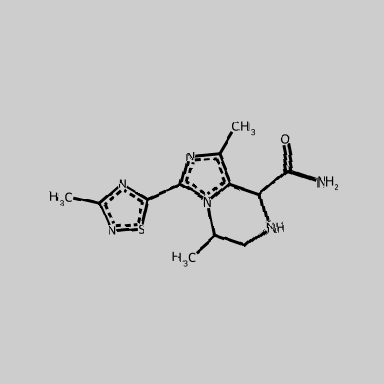 Cc1nsc(-c2nc(C)c3n2C(C)CNC3C(N)=O)n1